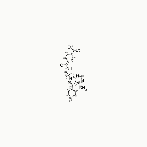 CCN(CC)c1ccc(C(=O)NCC(C)(C)n2nc(-c3ccc(C)cc3)c3c(N)ncnc32)cc1